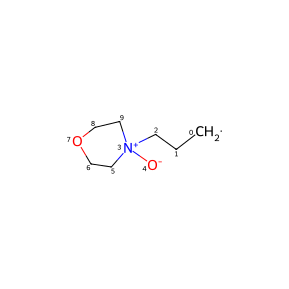 [CH2]CC[N+]1([O-])CCOCC1